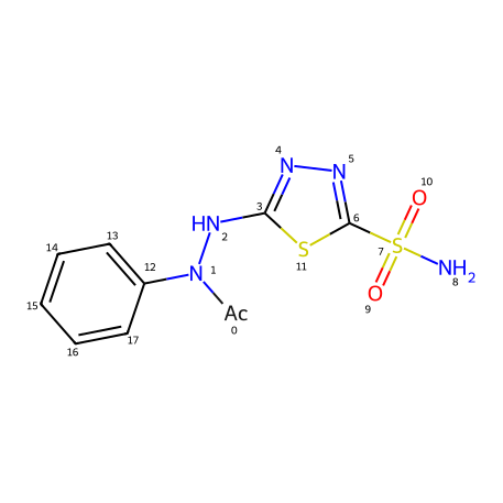 CC(=O)N(Nc1nnc(S(N)(=O)=O)s1)c1ccccc1